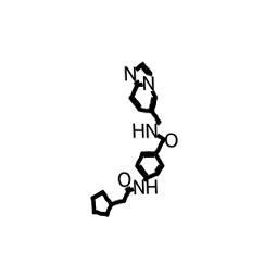 O=C(CC1CCCC1)Nc1ccc(C(=O)NCc2ccc3nccn3c2)cc1